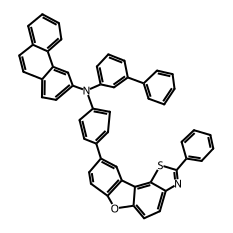 c1ccc(-c2cccc(N(c3ccc(-c4ccc5oc6ccc7nc(-c8ccccc8)sc7c6c5c4)cc3)c3ccc4ccc5ccccc5c4c3)c2)cc1